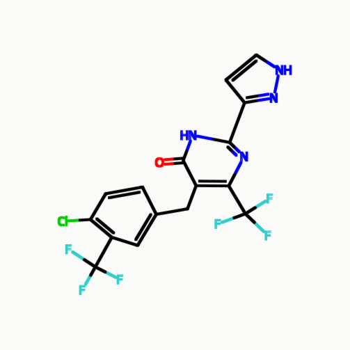 O=c1[nH]c(-c2cc[nH]n2)nc(C(F)(F)F)c1Cc1ccc(Cl)c(C(F)(F)F)c1